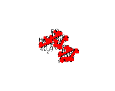 CCC(=O)Nc1ccccc1CCCCCc1ccccc1C(=O)O.CCC(C(=O)Nc1ccccc1CCCCCc1ccccc1C(=O)O)c1ccccc1.C[C@H](O)C(=O)Nc1ccccc1CCCCCc1ccccc1C(=O)O.O=C(CO)Nc1ccccc1CCCCCc1ccccc1C(=O)O.O=C(Cc1ccc(F)cc1)Nc1ccccc1CCCCCc1ccccc1C(=O)O